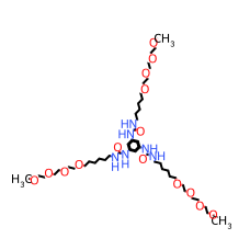 COCCOCCOCCOCCCCCCNC(=O)Nc1cc(NC(=O)NCCCCCCOCCOCCOCCOC)cc(NC(=O)NCCCCCCOCCOCCOCCOC)c1